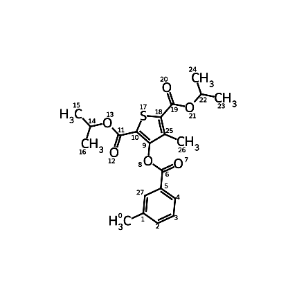 Cc1cccc(C(=O)Oc2c(C(=O)OC(C)C)sc(C(=O)OC(C)C)c2C)c1